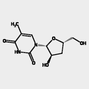 Cc1cn([C@@H]2O[C@H](CO)C[C@H]2O)c(=O)[nH]c1=O